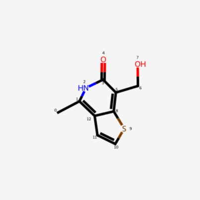 Cc1[nH]c(=O)c(CO)c2sccc12